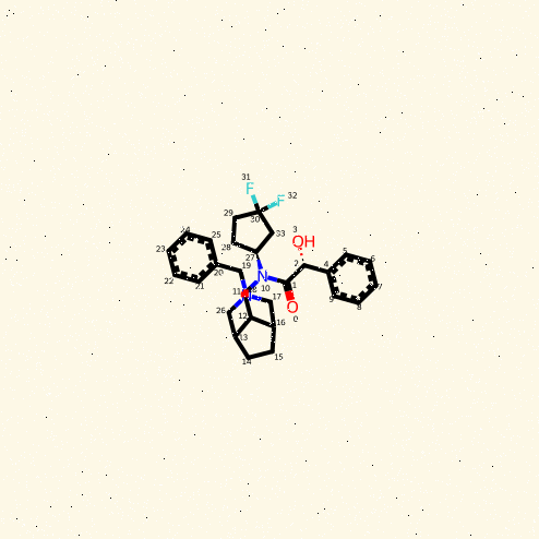 O=C([C@H](O)c1ccccc1)N(CC1C2CCC1CN(Cc1ccccc1)C2)[C@H]1CCC(F)(F)C1